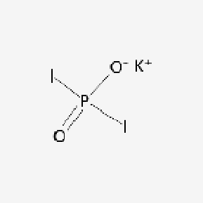 O=P([O-])(I)I.[K+]